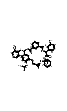 O=C(NC(C(=O)O[C@H]1CN2CCC1CC2)c1cccc(F)c1)c1cccc(C(=O)O[C@@H](Cc2c(Cl)cncc2Cl)c2ccc(OC(F)F)c(OCC3CC3)c2)c1